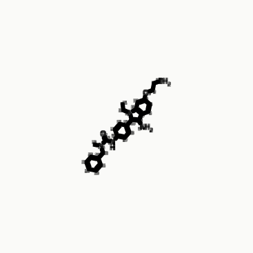 BCCOc1ccc2c(N)c(-c3ccc(NC(=O)N(C)Cc4ccccc4)cc3)n(CC)c2c1